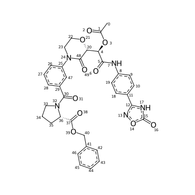 CC(=O)O[C@@H](C(=O)Nc1ccc(-c2noc(=O)[nH]2)cc1)[C@H]1OCCN(c2cccc(C(=O)N3CCC[C@H]3C(=O)OCc3ccccc3)c2)C1=O